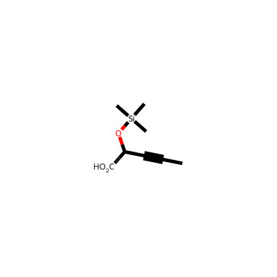 CC#CC(O[Si](C)(C)C)C(=O)O